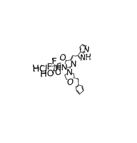 Cl.O=C(O)C(F)(F)F.O=C1NC(N2CCO[C@H](Cc3ccccc3)C2)=NC1=Cc1c[nH]c2ncccc12